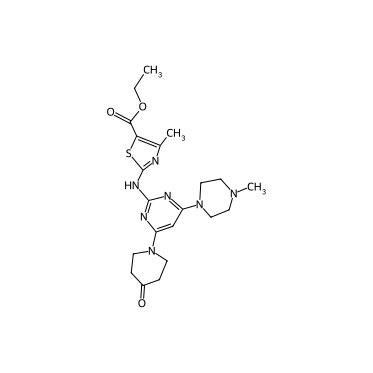 CCOC(=O)c1sc(Nc2nc(N3CCC(=O)CC3)cc(N3CCN(C)CC3)n2)nc1C